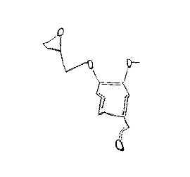 COc1cc(C=O)ccc1OCC1CO1